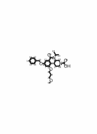 COCCCOc1cc(OCc2ccccc2)cc(C(=O)N(C(C)C)[C@@H]2CCCN(C(=O)O)C2)c1